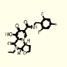 CCN1C(=O)c2c(O)c(=O)c(C(=O)NCc3c(F)cc(F)cc3F)cn2[C@@H]2CCO[C@@H]21